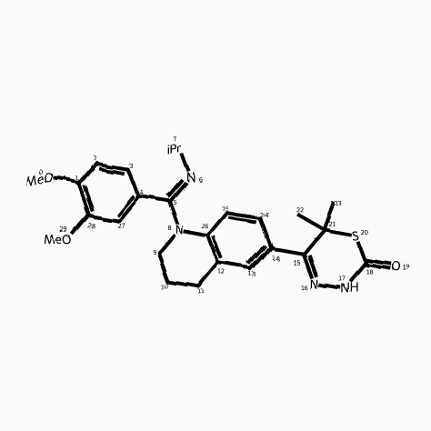 COc1ccc(C(=NC(C)C)N2CCCc3cc(C4=NNC(=O)SC4(C)C)ccc32)cc1OC